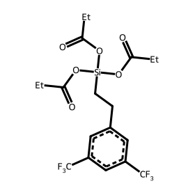 CCC(=O)O[Si](CCc1cc(C(F)(F)F)cc(C(F)(F)F)c1)(OC(=O)CC)OC(=O)CC